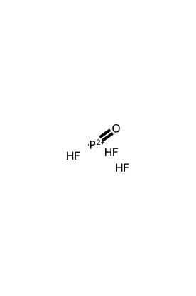 F.F.F.O=[P+2]